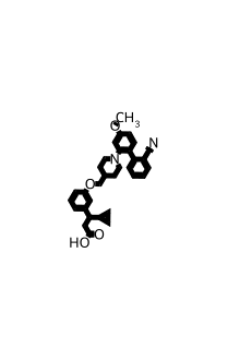 COc1ccc(-c2ccccc2C#N)c(N2CCC(COc3cccc(C(CC(=O)O)C4CC4)c3)CC2)c1